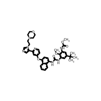 COC(=O)Nc1cc(C(C)(C)C)cc(NC(=O)Nc2ccc(Oc3ccnc(-c4cncn4CCN4CCOCC4)c3)c3ccccc23)c1OC